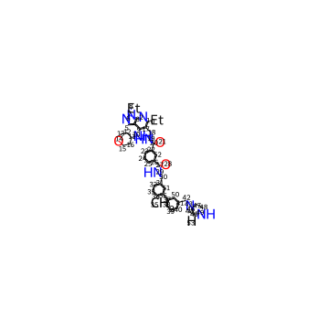 CCc1nc2c(cnn2CC)c(NC2CCOCC2)c1CNC(=O)c1cccc(C(=O)NCc2ccc(C)c(-c3cccc(CN4C[C@@H]5CC4CN5)c3)c2)c1